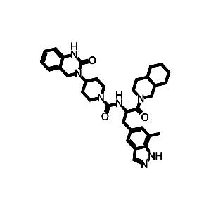 Cc1cc(CC(NC(=O)N2CCC(N3Cc4ccccc4NC3=O)CC2)C(=O)N2CCC3CCCCC3C2)cc2cn[nH]c12